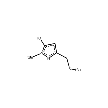 CC(C)(C)SCc1cc(O)n(C(C)(C)C)n1